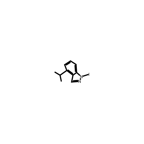 CC(C)c1cccc2c1cnn2I